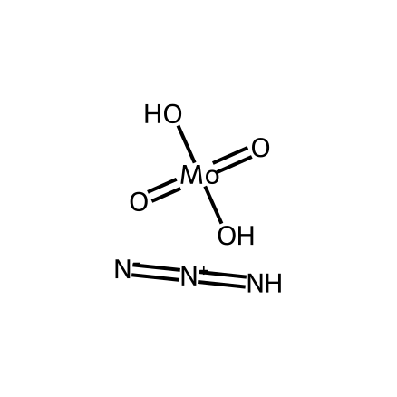 [N-]=[N+]=N.[O]=[Mo](=[O])([OH])[OH]